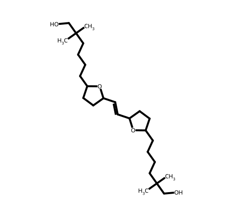 CC(C)(CO)CCCCC1CCC(/C=C/C2CCC(CCCCC(C)(C)CO)O2)O1